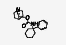 O=C(NC1(c2ccccc2)CCCCC1)OC1CN2CCC1CC2